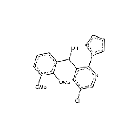 COc1cccc(C(O)c2cc(Cl)cnc2-n2cccc2)c1OC